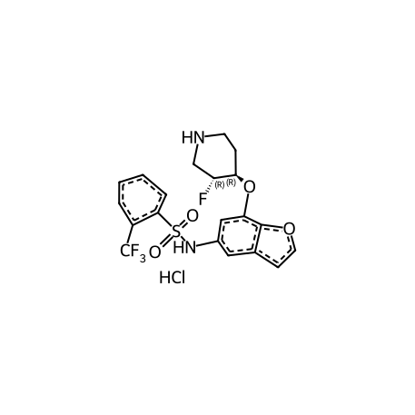 Cl.O=S(=O)(Nc1cc(O[C@@H]2CCNC[C@H]2F)c2occc2c1)c1ccccc1C(F)(F)F